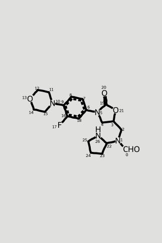 O=CN(CC1CN(c2ccc(N3CCOCC3)c(F)c2)C(=O)O1)C1CCCN1